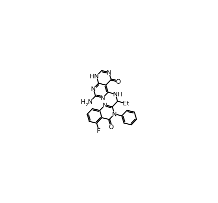 CCC(Nc1nc(N)nc2[nH]cnc(=O)c12)c1nc2cccc(F)c2c(=O)n1-c1ccccc1